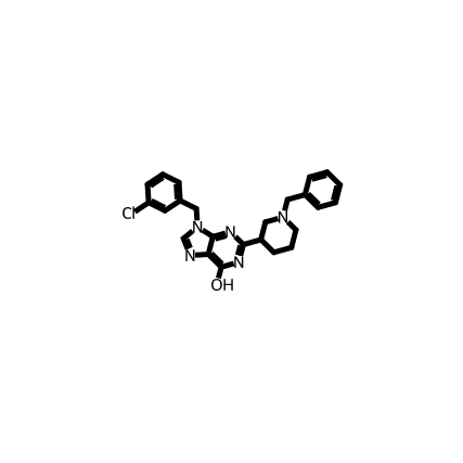 Oc1nc(C2CCCN(Cc3ccccc3)C2)nc2c1ncn2Cc1cccc(Cl)c1